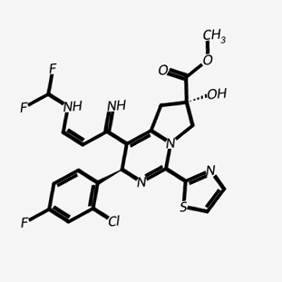 COC(=O)[C@]1(O)CC2=C(C(=N)/C=C\NC(F)F)[C@H](c3ccc(F)cc3Cl)N=C(c3nccs3)N2C1